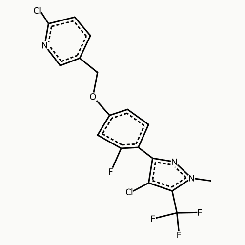 Cn1nc(-c2ccc(OCc3ccc(Cl)nc3)cc2F)c(Cl)c1C(F)(F)F